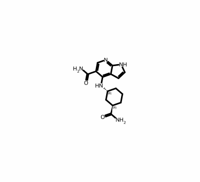 NC(=O)c1cnc2[nH]ccc2c1N[C@@H]1CCC[C@@H](C(N)=O)C1